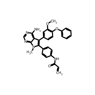 C=CC(=O)Nc1ccc(-c2c(-c3ccc(Oc4ccccc4)c(OC)c3)c3c(N)ncnc3n2C)cc1